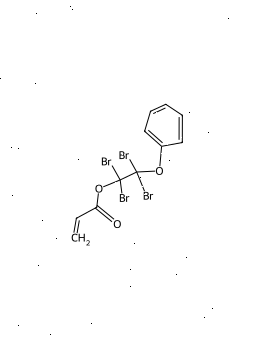 C=CC(=O)OC(Br)(Br)C(Br)(Br)Oc1ccccc1